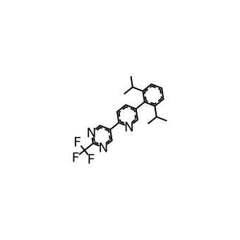 CC(C)c1cccc(C(C)C)c1-c1ccc(-c2cnc(C(F)(F)F)nc2)nc1